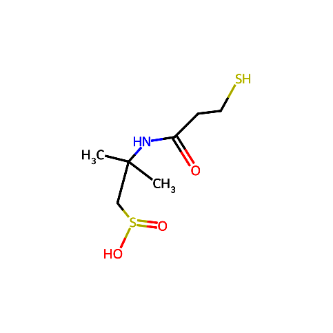 CC(C)(CS(=O)O)NC(=O)CCS